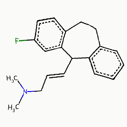 CN(C)C/C=C/C1c2ccccc2CCc2ccc(F)cc21